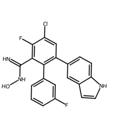 N=C(NO)c1c(F)c(Cl)cc(-c2ccc3[nH]ccc3c2)c1-c1cccc(F)c1